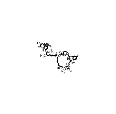 CC[C@H]1C[C@H](C)[C@@]2(NC1=O)O[C@@H](CC(O)[C@@H](C)CC/C=C/C=C(\C)[C@@H]1C/C=C/C=C/[C@H](O)[C@H](C)[C@@H](O)[C@@H](CCC(C)=O)C(=O)N[C@@H](C(C)C)C(=O)N[C@@H](Cc3cccc(F)c3)C(=O)N3CCCC(N3)C(=O)O1)[C@H](C)[C@H](O)[C@@H]2C